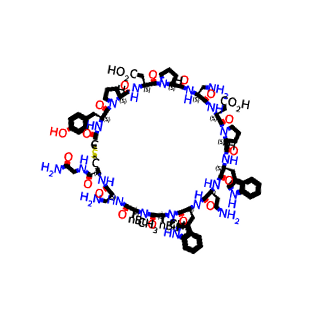 CCCC[C@H]1C(=O)N(C)[C@@H](CCCC)C(=O)N[C@@H](CN)C(=O)N[C@H](C(=O)NCC(N)=O)CSCC(=O)N[C@@H](Cc2ccc(O)cc2)C(=O)N2CCC[C@H]2C(=O)N[C@@H](CC(=O)O)C(=O)N2CCC[C@H]2C(=O)N[C@@H](CN)C(=O)N[C@@H](CC(=O)O)C(=O)N2CCC[C@H]2C(=O)N[C@@H](Cc2c[nH]c3ccccc23)C(=O)N[C@@H](CCN)C(=O)N[C@@H](Cc2c[nH]c3ccccc23)C(=O)N1C